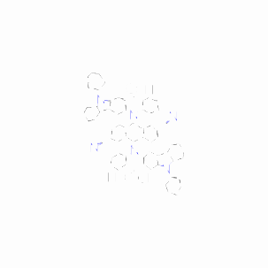 CC1(C)c2ccccc2N(c2c3ccc(C#N)cc3c(N3c4ccccc4C(C)(C)c4cc5c(cc43)c3ccccc3n5-c3ccccc3)c3ccc(C#N)cc23)c2cc3c4ccccc4n(-c4ccccc4)c3cc21